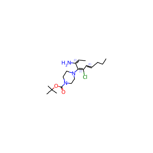 C\C=C(N)/C(=C(Cl)\C=C\CCC)N1CCN(C(=O)OC(C)(C)C)CC1